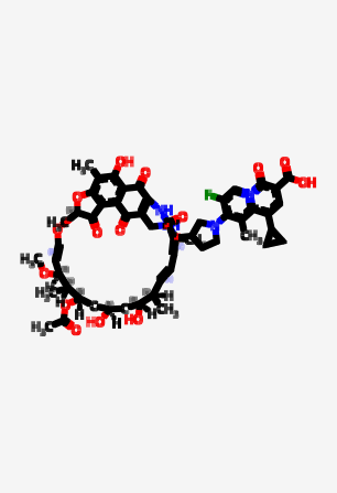 CO[C@H]1/C=C/O[C@@]2(C)Oc3c(C)c(O)c4c(c3C2=O)C(=O)C(CNCC2CCN(c3c(F)cn5c(=O)c(C(=O)O)cc(C6CC6)c5c3C)C2)=C(NC(=O)/C(C)=C\C=C\[C@H](C)[C@H](O)C[C@@H](O)C[C@H](OC(C)=O)[C@@H]1C)C4=O